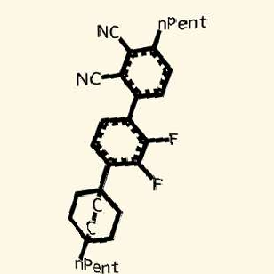 CCCCCc1ccc(-c2ccc(C34CCC(CCCCC)(CC3)CC4)c(F)c2F)c(C#N)c1C#N